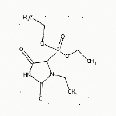 CCOP(=O)(OCC)C1C(=O)NC(=O)N1CC